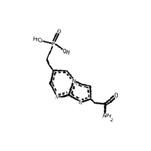 NC(=O)c1cn2cc(CP(=O)(O)O)cnc2n1